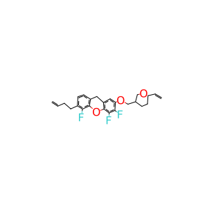 C=CCCc1ccc2c(c1F)Oc1c(cc(OCC3CCC(C=C)OC3)c(F)c1F)C2